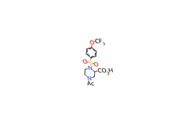 CC(=O)N1CCN(S(=O)(=O)c2ccc(OC(F)(F)F)cc2)C(C(=O)O)C1